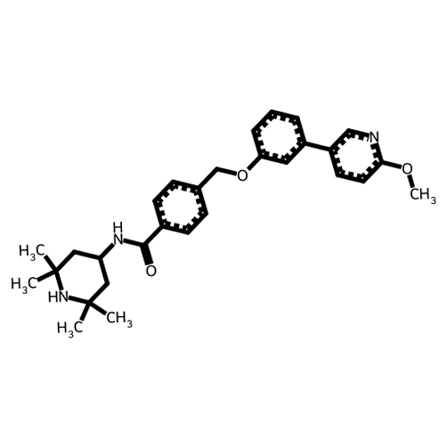 COc1ccc(-c2cccc(OCc3ccc(C(=O)NC4CC(C)(C)NC(C)(C)C4)cc3)c2)cn1